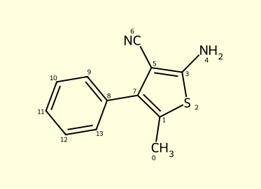 Cc1sc(N)c(C#N)c1-c1ccccc1